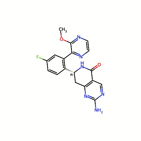 COc1nccnc1-c1cc(F)ccc1[C@H]1Cc2nc(N)ncc2C(=O)N1